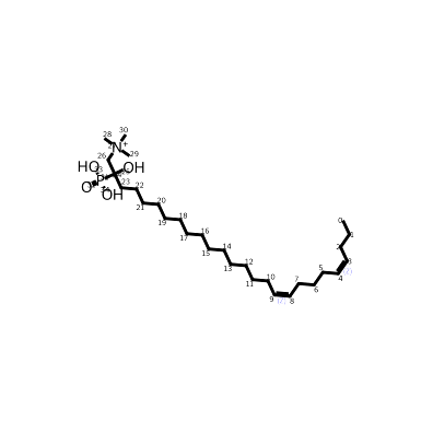 CCC/C=C\CCC/C=C\CCCCCCCCCCCCCCC(O)(C[N+](C)(C)C)P(=O)(O)O